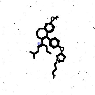 CCC/C(=C\CC(C)C)C1=C(c2ccc(OC3CCN(CCCF)C3)cc2)c2ccc(OF)cc2CCC1